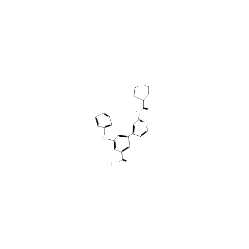 O=C(O)c1cc(Nc2ccccc2)cc(-c2ccnc(NC(=O)C3CCOCC3)c2)c1